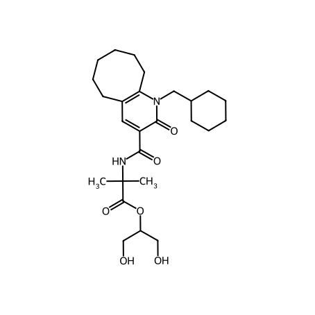 CC(C)(NC(=O)c1cc2c(n(CC3CCCCC3)c1=O)CCCCCC2)C(=O)OC(CO)CO